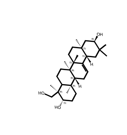 CC1(C)C[C@@H]2C3=CC[C@@H]4[C@@]5(C)CC[C@H](O)[C@@](C)(CO)C5CC[C@@]4(C)[C@]3(C)CC[C@@]2(C)C[C@H]1O